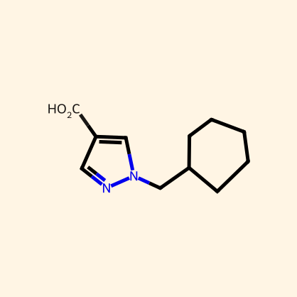 O=C(O)c1cnn(CC2CCCCC2)c1